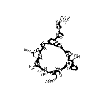 CNC(=O)C[C@@H]1NC(=O)c2csc(n2)-c2ccc(-c3nc(-n4cnc(C(=O)O)c4)cs3)nc2-c2csc(n2)-c2csc(n2)[C@H]([C@@H](O)c2ccccc2)NC(=O)CNC(=O)c2nc(sc2COC)[C@H](C(C)C)NC(=O)c2nc1sc2C